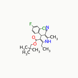 CCC1=C(C(=O)OCC(C)(C)C)C(c2ccc(F)cc2Cl)C(C#N)=C(C)N1